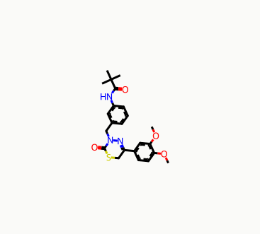 COc1ccc(C2=NN(Cc3cccc(NC(=O)C(C)(C)C)c3)C(=O)SC2)cc1OC